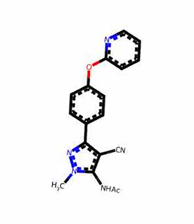 CC(=O)Nc1c(C#N)c(-c2ccc(Oc3ccccn3)cc2)nn1C